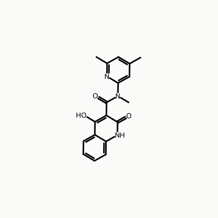 Cc1cc(C)nc(N(C)C(=O)c2c(O)c3ccccc3[nH]c2=O)c1